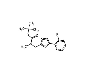 CN(Cc1cc(-c2cccnc2F)cs1)C(=O)OC(C)(C)C